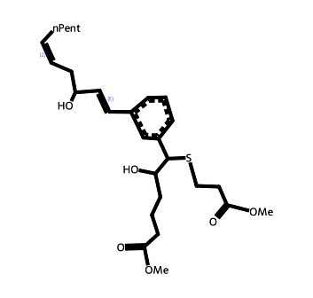 CCCCC/C=C\CC(O)/C=C/c1cccc(C(SCCC(=O)OC)C(O)CCCC(=O)OC)c1